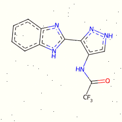 O=C(Nc1c[nH]nc1-c1nc2ccccc2[nH]1)C(F)(F)F